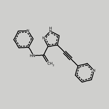 C=C(Nc1cccnc1)c1n[nH]cc1C#Cc1cccnc1